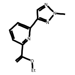 C=C(OCC)c1cccc(-c2cnn(C)n2)n1